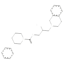 O=C(NCC(O)CN1CCc2ccccc2C1)N1CCC[C@@H](c2ccccc2)C1